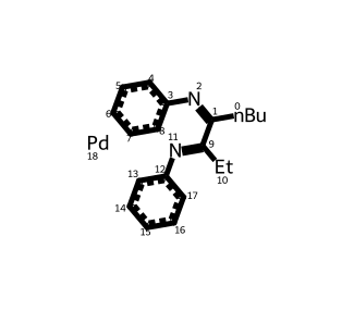 CCCCC(=Nc1ccccc1)C(CC)=Nc1ccccc1.[Pd]